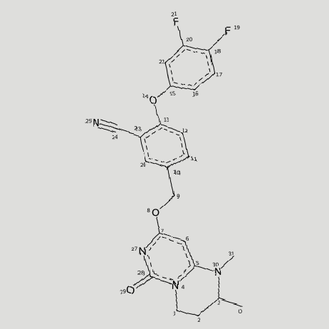 CC1CCn2c(cc(OCc3ccc(Oc4ccc(F)c(F)c4)c(C#N)c3)nc2=O)N1C